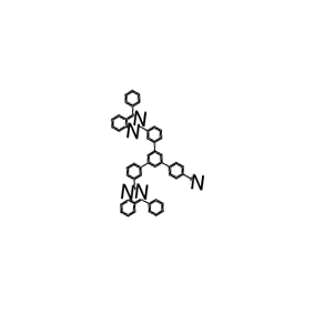 N#Cc1ccc(-c2cc(-c3cccc(-c4nc(-c5ccccc5)c5ccccc5n4)c3)cc(-c3cccc(-c4nc(-c5ccccc5)c5ccccc5n4)c3)c2)cc1